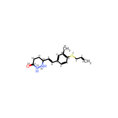 C=CCSc1ccc(/C=C/C2CCC(=O)NN2)cc1C